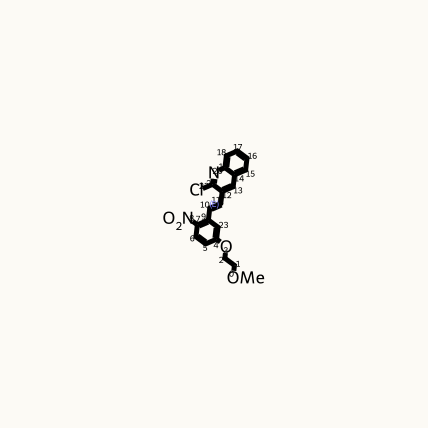 COCCOc1ccc([N+](=O)[O-])c(/C=C/c2cc3ccccc3nc2Cl)c1